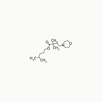 CC(C)CCCOC(=O)C(C)(C)CCN1CCOCC1